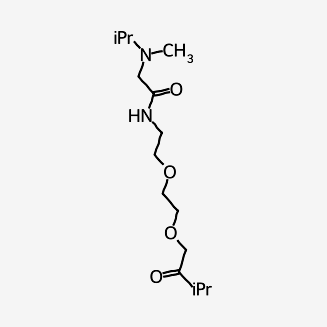 CC(C)C(=O)COCCOCCNC(=O)CN(C)C(C)C